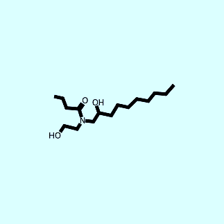 CCCCCCCCC(O)CN(CCO)C(=O)CCC